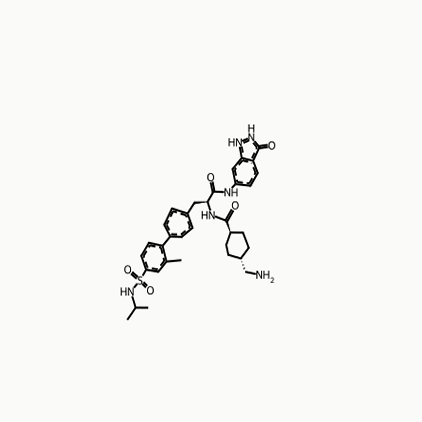 Cc1cc(S(=O)(=O)NC(C)C)ccc1-c1ccc(C[C@H](NC(=O)[C@H]2CC[C@H](CN)CC2)C(=O)Nc2ccc3c(=O)[nH][nH]c3c2)cc1